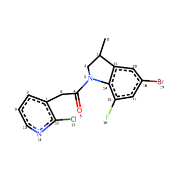 CC1CN(C(=O)Cc2cccnc2Cl)c2c(F)cc(Br)cc21